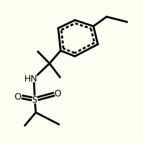 CCc1ccc(C(C)(C)NS(=O)(=O)C(C)C)cc1